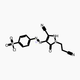 N#CCCn1[nH]c(C#N)c(/N=N/c2ccc(S(=O)(=O)Cl)cc2)c1=O